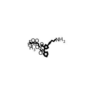 CC(CC(=O)OC(=O)C(F)(F)F)N1CC(=O)N(c2ccccc2)c2ccc(C#CCCCN)cc2C1=O